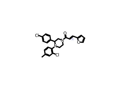 Cc1ccc(N2CCN(C(=O)/C=C/c3ccco3)CC2c2ccc(Cl)cc2)c(Cl)c1